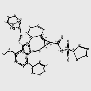 COc1ccc(C2CCCCC2)c2c1cc1n2CC2=C(C(=O)NS(=O)(=O)C3CCCC3)C2=C2C=CC[C@@H](C(=O)N3CC4CCC3CN4)C21